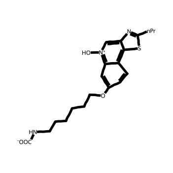 CCCc1nc2c[n+](O)c3cc(OCCCCCCNC(=O)[O-])ccc3c2s1